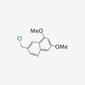 COc1cc(OC)c2cc(CCl)ccc2c1